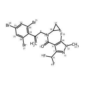 C=C(CN(C(=O)c1c(C(F)F)nn(C)c1F)C1CC1)c1c(Br)cc(Br)cc1Br